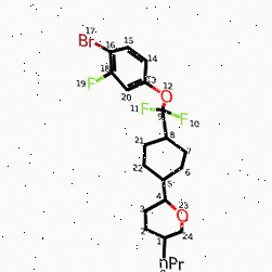 CCCC1CCC(C2CCC(C(F)(F)Oc3ccc(Br)c(F)c3)CC2)OC1